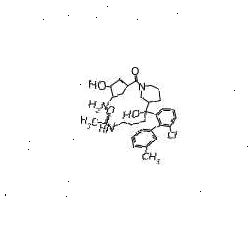 CC(=O)NCCCC(O)(c1cccc(Cl)c1-c1cccc(C)c1)C1CCCN(C(=O)C2CC(N)C(O)C2)C1